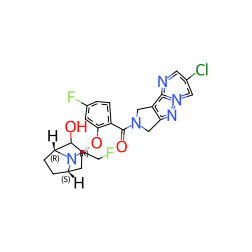 O=C(c1ccc(F)cc1O[C@@H]1C[C@@H]2CC[C@H](C1O)N2CCF)N1Cc2nn3cc(Cl)cnc3c2C1